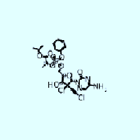 CC(C)OC(=O)[C@H](C)O[P@](=O)(OC[C@H]1O[C@@H](n2ncc(N)nc2=O)C(Cl)(C#CCl)[C@H]1O)Oc1ccccc1